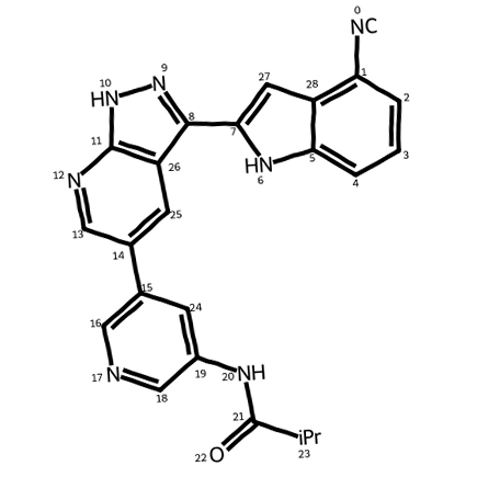 [C-]#[N+]c1cccc2[nH]c(-c3n[nH]c4ncc(-c5cncc(NC(=O)C(C)C)c5)cc34)cc12